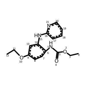 CCOC(=O)Nc1ccc(OCC)cc1Nc1ccccn1